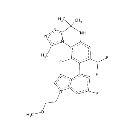 COCCn1ccc2c(-c3c(C(F)F)cc4c(c3F)-n3c(C)nnc3C(C)(C)N4)cc(F)cc21